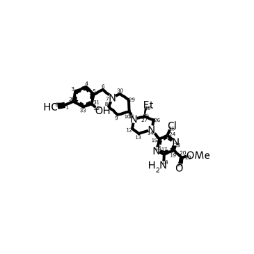 C#Cc1ccc(CN2CCC(N3CCN(c4nc(N)c(C(=O)OC)nc4Cl)C[C@@H]3CC)CC2)c(O)c1